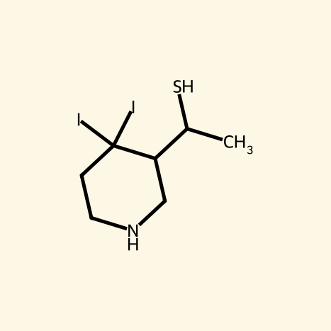 CC(S)C1CNCCC1(I)I